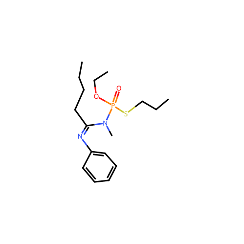 CCCCC(=Nc1ccccc1)N(C)P(=O)(OCC)SCCC